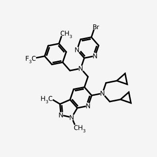 Cc1cc(CN(Cc2cc3c(C)nn(C)c3nc2N(CC2CC2)CC2CC2)c2ncc(Br)cn2)cc(C(F)(F)F)c1